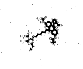 [C-]#[N+]CCOP(OCCCCCCC1(C)c2cc(NC(C)=O)ccc2C2(OC(=O)c3ccccc32)c2ccc(NC(=O)C(F)(F)F)cc21)N(C(C)C)C(C)C